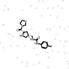 O=C(NC[C@@H]1CN[C@H](C(=O)N2CCSC2)C1)Nc1ccc(F)cc1